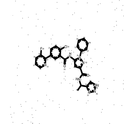 CC(NC(=O)c1cc(NC(=O)c2cc(-c3ncccc3F)ccc2Cl)n(-c2ccccc2)n1)c1c[nH]nn1